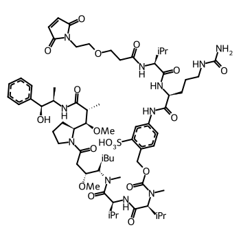 CC[C@H](C)[C@@H]([C@@H](CC(=O)N1CCC[C@H]1[C@H](OC)[C@@H](C)C(=O)N[C@H](C)[C@@H](O)c1ccccc1)OC)N(C)C(=O)[C@@H](NC(=O)[C@H](C(C)C)N(C)C(=O)OCc1ccc(NC(=O)[C@H](CCCNC(N)=O)NC(=O)[C@@H](NC(=O)CCOCCN2C(=O)C=CC2=O)C(C)C)cc1S(=O)(=O)O)C(C)C